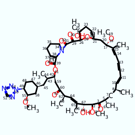 COC1C(=O)[C@@H](C)C[C@H](C)/C=C/C=C/C=C(\C)[C@@H](OC)C[C@@H]2CC[C@@H](C)[C@@](O)(O2)C(=O)C(=O)N2CCCC[C@H]2C(=O)O[C@H]([C@H](C)C[C@@H]2CC[C@H](n3ncnn3)[C@H](OC)C2)CC(=O)[C@H](C)/C=C(\C)[C@H]1O